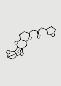 O=C(CC1CCOC1)CC1CCC2OC3C4OC5CC4OC3C(O5)C2O1